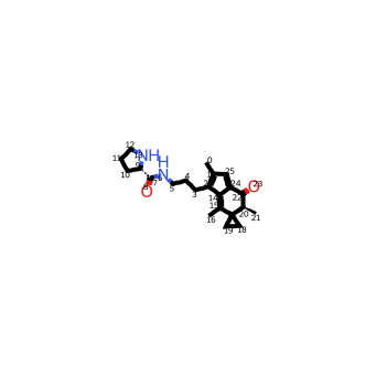 CC1=C(CCCNC(=O)[C@@H]2CCCN2)C2=C(C)C3(CC3)[C@H](C)C(=O)C2=C1